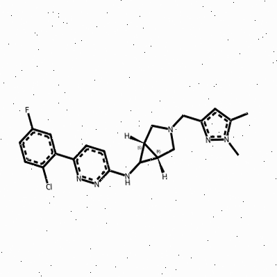 Cc1cc(CN2C[C@@H]3C(Nc4ccc(-c5cc(F)ccc5Cl)nn4)[C@@H]3C2)nn1C